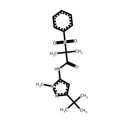 Cn1nc(C(C)(C)C)cc1NC(=O)C(C)(C)S(=O)(=O)c1ccccc1